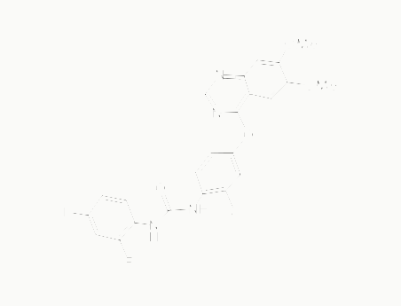 COc1cc2ncnc(Oc3ccc(NC(=O)Nc4ccc(F)cc4F)c(Cl)c3)c2cc1OC